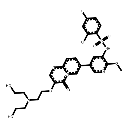 COc1ncc(-c2ccc3ncc(OCCN(CCO)CCO)c(=O)n3c2)cc1NS(=O)(=O)c1ccc(F)cc1Cl